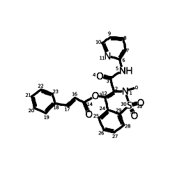 CN1C(C(=O)Nc2ccccn2)=C(OC(=O)C=Cc2ccccc2)c2ccccc2S1(=O)=O